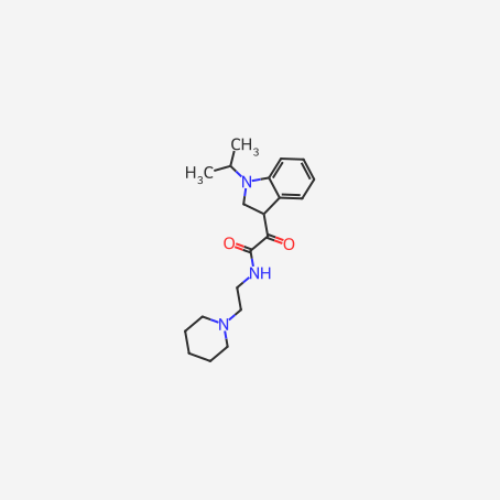 CC(C)N1CC(C(=O)C(=O)NCCN2CCCCC2)c2ccccc21